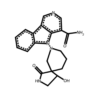 NC(=O)c1cncc2c3ccccc3n(N3CCCC4(C3)C(=O)NCC4O)c12